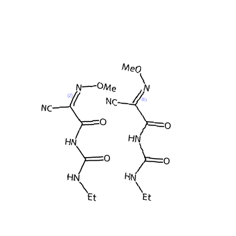 CCNC(=O)NC(=O)/C(C#N)=N/OC.CCNC(=O)NC(=O)/C(C#N)=N\OC